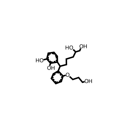 OCCCOc1ccccc1C(CCCC(O)CO)c1cccc(O)c1O